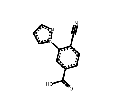 N#Cc1ccc(C(=O)O)cc1-n1cccn1